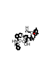 CNCCOC12CC3(C)CC(C)(CC(Cn4ncc(-c5ccc(N6CCc7cccc(C(=O)Nc8nc9ccccc9s8)c7C6)nc5OC(=O)O)c4C)(C3)C1)C2